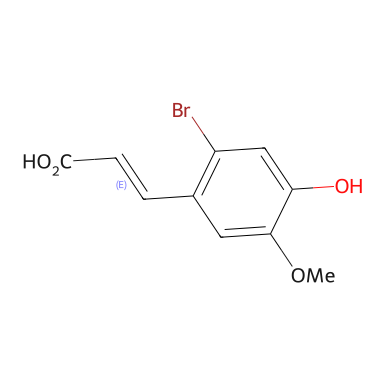 COc1cc(/C=C/C(=O)O)c(Br)cc1O